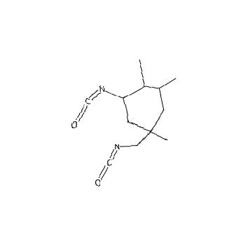 CC1CC(C)(CN=C=O)CC(N=C=O)C1C